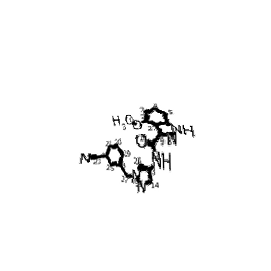 COc1cccc2[nH]nc(C(=O)Nc3cnn(Cc4cccc(C#N)c4)c3)c12